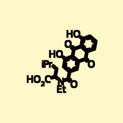 CCN(C(=O)c1cc(O)c2c(c1)C(=O)c1cccc(O)c1C2=O)C(CC(C)C)C(=O)O